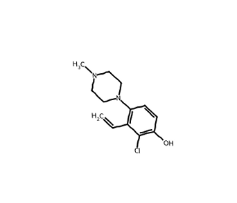 C=Cc1c(N2CCN(C)CC2)ccc(O)c1Cl